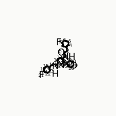 O=C(Cc1cccc(F)c1)Nc1ccc(NCc2ccc(F)cc2)nc1N1CCOCC1